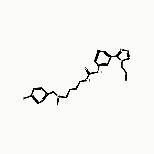 CCCn1nnnc1-c1cccc(NC(=O)NCCCCN(C)Cc2ccc(F)cc2)c1